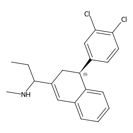 CCC(NC)C1=Cc2ccccc2[C@H](c2ccc(Cl)c(Cl)c2)C1